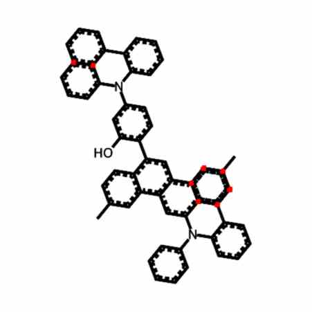 Cc1ccc2c(-c3ccc(N(c4ccccc4)c4ccccc4-c4ccccc4)cc3O)cc3c4cc(C)ccc4c(N(c4ccccc4)c4ccccc4-c4ccccc4)cc3c2c1